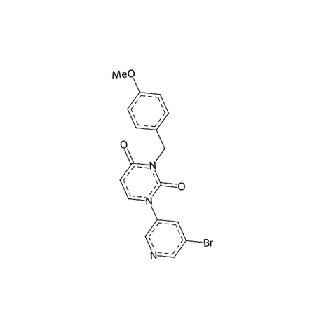 COc1ccc(Cn2c(=O)ccn(-c3cncc(Br)c3)c2=O)cc1